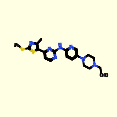 Cc1nc(SC(C)C)sc1-c1ccnc(Nc2ccc(N3CCN(CC=O)CC3)cn2)n1